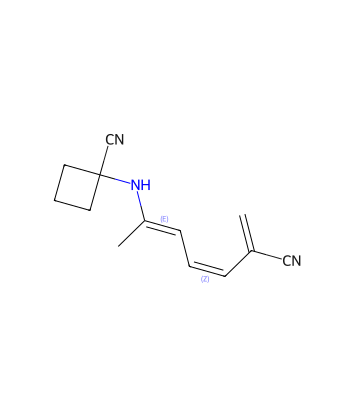 C=C(C#N)/C=C\C=C(/C)NC1(C#N)CCC1